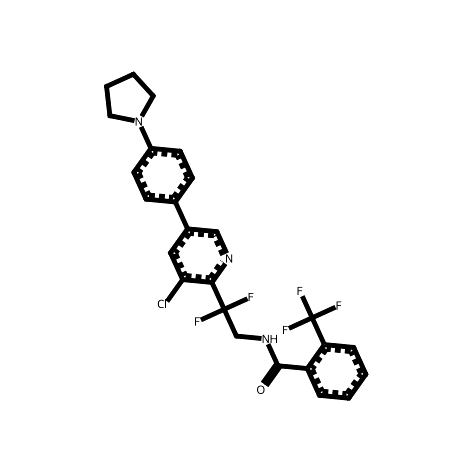 O=C(NCC(F)(F)c1ncc(-c2ccc(N3CCCC3)cc2)cc1Cl)c1ccccc1C(F)(F)F